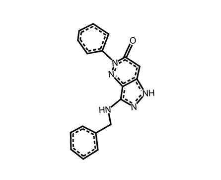 O=c1cc2[nH]nc(NCc3ccccc3)c2nn1-c1ccccc1